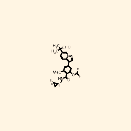 COc1cc(-c2cnn3cc(C(C)(C)C=O)ccc23)cc(OC(F)F)c1C(=O)NC[C@@H]1C[C@@H]1F